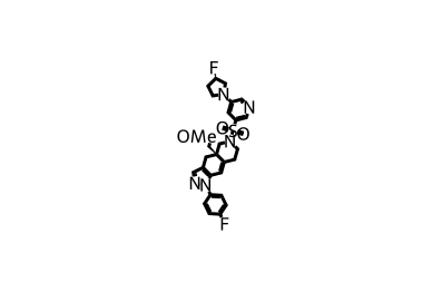 COC[C@]12Cc3cnn(-c4ccc(F)cc4)c3C=C1CCN(S(=O)(=O)c1cncc(N3CC[C@H](F)C3)c1)C2